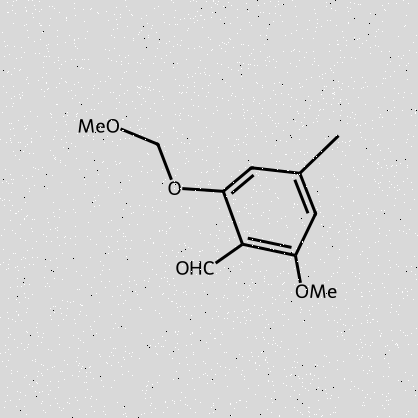 COCOc1cc(C)cc(OC)c1C=O